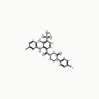 Cc1cccc(Nc2c(C(=O)N3CCN(c4ccc(F)cc4)C(=O)C3)cnc(S(N)(=O)=O)c2Cl)c1